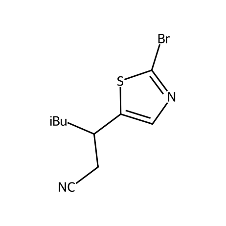 CCC(C)C(CC#N)c1cnc(Br)s1